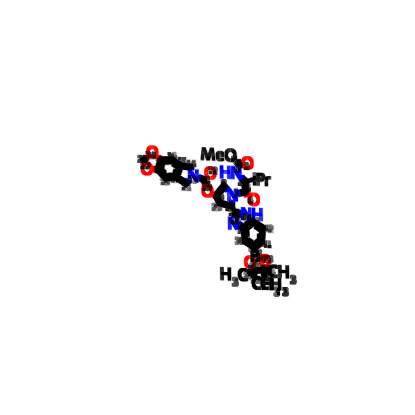 COC(=O)N[C@H](C(=O)N1CC(OC(=O)N2Cc3cc4c(cc3C2)OCO4)C[C@H]1c1nc2cc(B3OC(C)(C)C(C)(C)O3)ccc2[nH]1)C(C)C